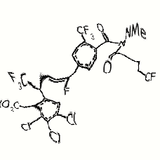 CNN(C(=O)CCC(F)(F)F)C(=O)c1ccc(C(F)=CC(c2cc(Cl)c(Cl)c(Cl)c2C(=O)O)C(F)(F)F)cc1C(F)(F)F